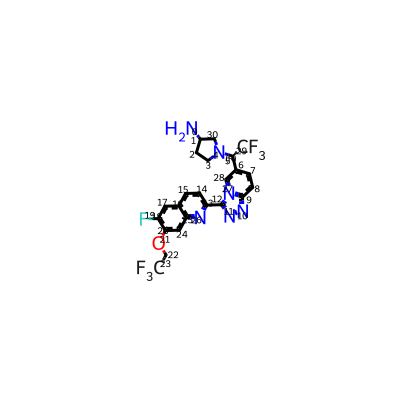 NC1CCN([C@H](c2ccc3nnc(-c4ccc5cc(F)c(OCC(F)(F)F)cc5n4)n3c2)C(F)(F)F)C1